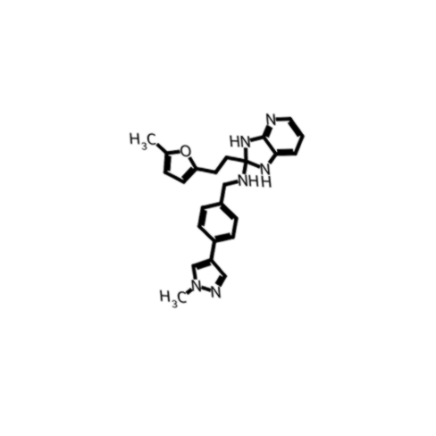 Cc1ccc(CCC2(NCc3ccc(-c4cnn(C)c4)cc3)Nc3cccnc3N2)o1